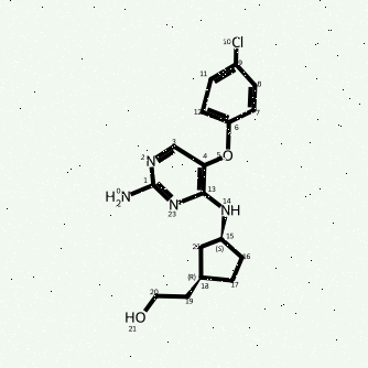 Nc1ncc(Oc2ccc(Cl)cc2)c(N[C@H]2CC[C@@H](CCO)C2)n1